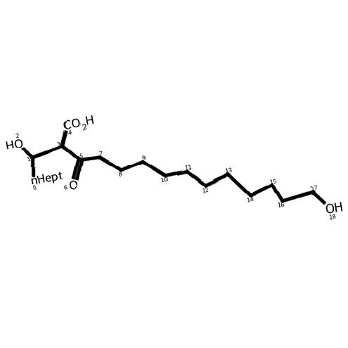 CCCCCCCC(O)C(C(=O)O)C(=O)CCCCCCCCCCCO